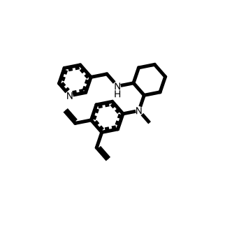 C=Cc1ccc(N(C)C2CCCCC2NCc2cccnc2)cc1C=C